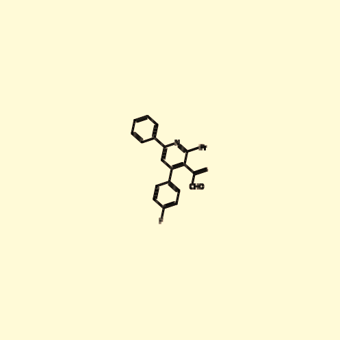 C=C(C=O)c1c(-c2ccc(F)cc2)cc(-c2ccccc2)nc1C(C)C